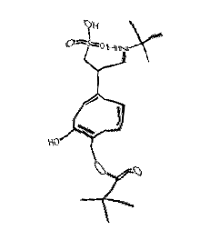 CC(C)(C)NCC(CS(=O)(=O)O)c1ccc(OC(=O)C(C)(C)C)c(O)c1